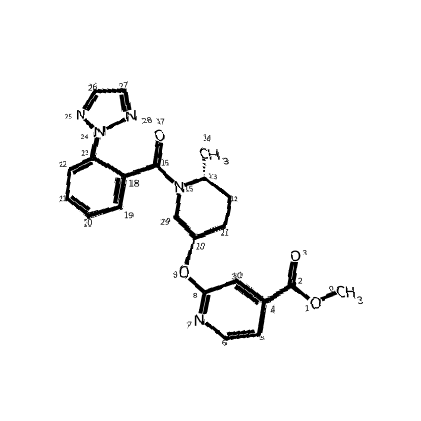 COC(=O)c1ccnc(O[C@@H]2CC[C@@H](C)N(C(=O)c3ccccc3-n3nccn3)C2)c1